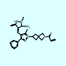 C=CC(=O)N1CC2(CC(n3nc(-c4ccccc4)c(/C=C4/C(=C)NN(C)C4N)c3C)C2)C1